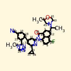 CC(c1cc2c3c(ccc(F)c3c1)N(c1cc(-c3ccc(C#N)cc3-c3nncn3C)cc(C3CC3)n1)C2=O)N1CCO[C@H](C)C1